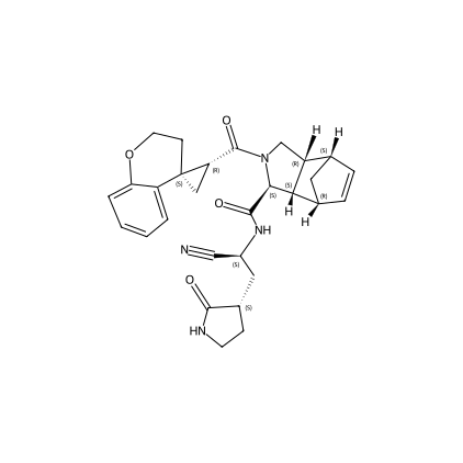 N#C[C@H](C[C@@H]1CCNC1=O)NC(=O)[C@@H]1[C@@H]2[C@H](CN1C(=O)[C@@H]1C[C@]13CCOc1ccccc13)[C@@H]1C=C[C@H]2C1